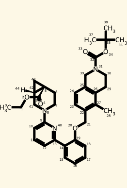 CCOC(=O)[C@@]12CCN(c3cccc(-c4ccccc4OCc4ccc5c(c4C)CCN(C(=O)OC(C)(C)C)C5)n3)C[C@@H]1C2